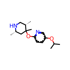 CC(C)Oc1ccc(OC2(C)C[C@H](C)NC[C@@H]2C)nc1